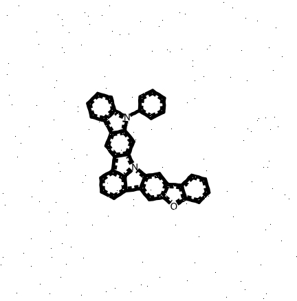 c1ccc(-n2c3ccccc3c3cc4c5cccc6c7cc8oc9ccccc9c8cc7n(c4cc32)c65)cc1